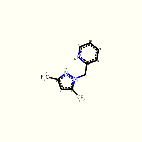 FC(F)(F)c1cc(C(F)(F)F)n(Cc2cc[c]cn2)n1